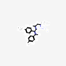 CCCCC(N)C/C(C)=C/C(=C(\C)c1ccc(C)cc1)c1ccc(C#N)cc1